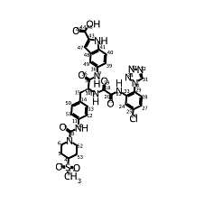 CS(=O)(=O)C1CCN(C(=O)Nc2ccc(C[C@H](NC(=O)C(=O)Nc3cc(Cl)ccc3-n3cnnn3)C(=O)Nc3ccc4[nH]c(C(=O)O)cc4c3)cc2)CC1